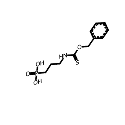 O=P(O)(O)CCCNC(=S)OCc1ccccc1